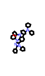 c1ccc(-c2nc3c(c4ccc5c6cc(N(c7ccccc7)c7ccccc7)ccc6n(-c6ccccc6)c5c4n3-c3ccccc3)n2-c2ccccc2)cc1